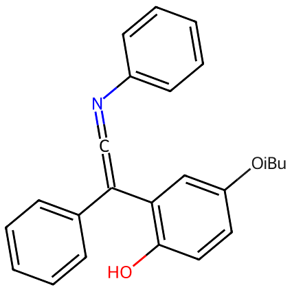 CC(C)COc1ccc(O)c(C(=C=Nc2ccccc2)c2ccccc2)c1